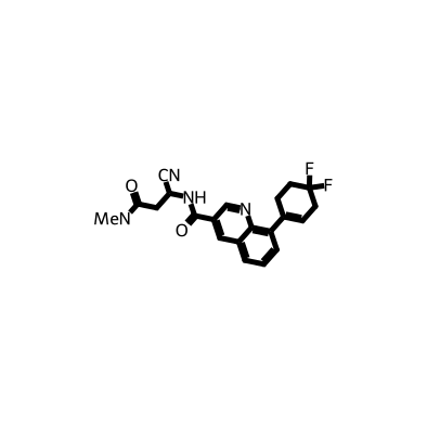 CNC(=O)CC(C#N)NC(=O)c1cnc2c(C3=CCC(F)(F)CC3)cccc2c1